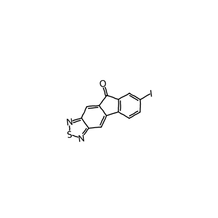 O=C1c2cc(I)ccc2-c2cc3nsnc3cc21